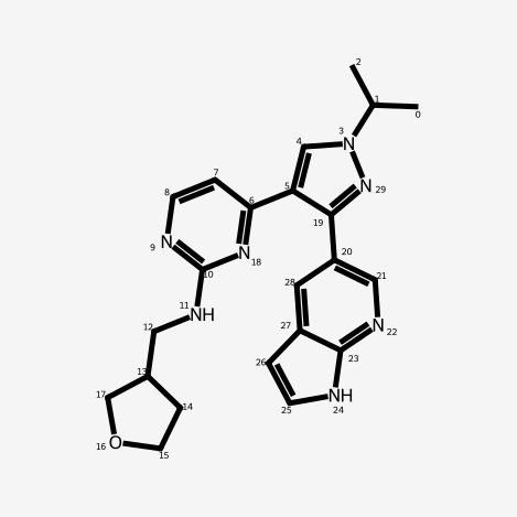 CC(C)n1cc(-c2ccnc(NCC3CCOC3)n2)c(-c2cnc3[nH]ccc3c2)n1